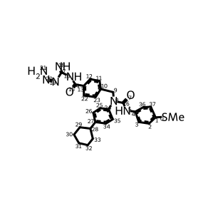 CSc1ccc(NC(=O)N(Cc2ccc(C(=O)NC(=N)/N=N\N)cc2)c2ccc(C3CCCCC3)cc2)cc1